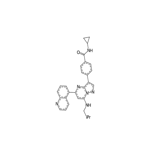 CC(C)CNc1cc(-c2cccc3ncccc23)nc2c(-c3ccc(C(=O)NC4CC4)cc3)cnn12